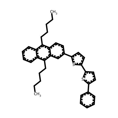 CCCCCc1c2ccccc2c(CCCCC)c2cc(-c3ccc(-c4ccc(-c5ccccc5)s4)s3)ccc12